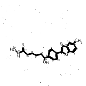 Cc1ccc2oc(-c3ccc([C@@H](O)CCCCC(=O)NO)cc3)nc2c1